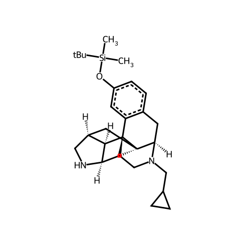 CC(C)(C)[Si](C)(C)Oc1ccc2c(c1)[C@]13CCN(CC4CC4)[C@H](C2)[C@]12CC[C@H]1NC[C@@H](C2)[C@H]13